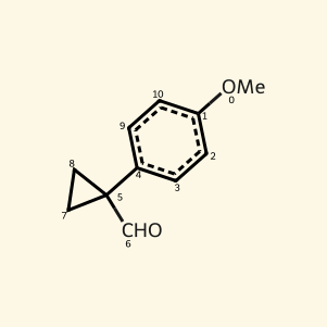 COc1ccc(C2(C=O)CC2)cc1